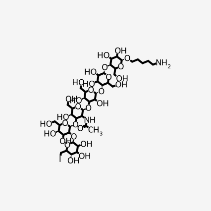 CC(=O)NC1C(O[C@@H]2OC(CO)[C@H](O)C(O)C2O[C@@H]2OC(CI)[C@@H](O)C(O)C2O)[C@@H](O)C(CO)O[C@H]1OC1C(O)[C@@H](O[C@H]2C(CO)O[C@@H](O[C@@H]3C(CO)O[C@@H](OCCCCCN)C(O)C3O)C(O)C2O)OC(CO)[C@@H]1O